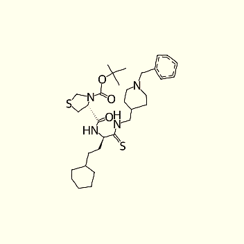 CC(C)(C)OC(=O)N1CSC[C@H]1C(=O)N[C@H](CCC1CCCCC1)C(=S)NCC1CCN(Cc2ccccc2)CC1